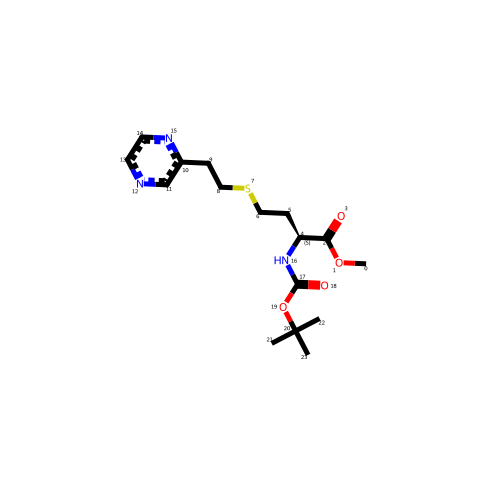 COC(=O)[C@H](CCSCCc1cnccn1)NC(=O)OC(C)(C)C